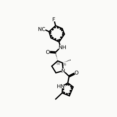 Cc1ccc(C(=O)N2CC[C@H](C(=O)Nc3ccc(F)c(C#N)c3)[C@@H]2C)[nH]1